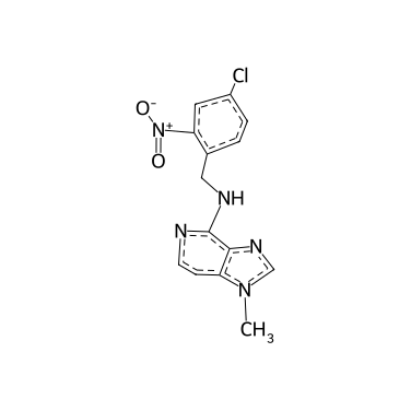 Cn1cnc2c(NCc3ccc(Cl)cc3[N+](=O)[O-])nccc21